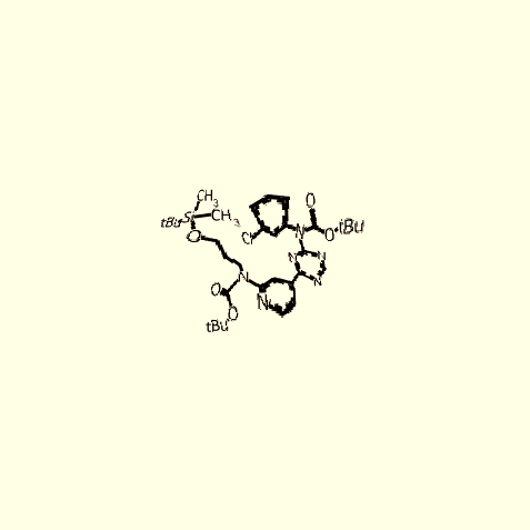 CC(C)(C)OC(=O)N(CCCO[Si](C)(C)C(C)(C)C)c1cc(-c2ncnc(N(C(=O)OC(C)(C)C)c3cccc(Cl)c3)n2)ccn1